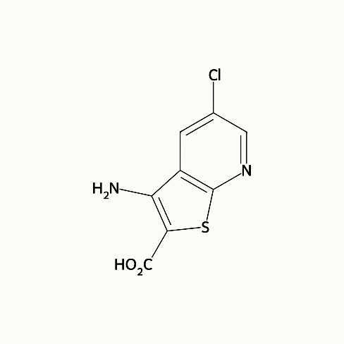 Nc1c(C(=O)O)sc2ncc(Cl)cc12